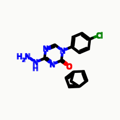 C1=CC2=CC=C1C2.NNc1ncn(-c2ccc(Cl)cc2)c(=O)n1